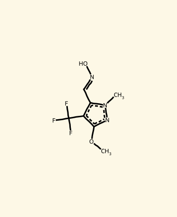 COc1nn(C)c(C=NO)c1C(F)(F)F